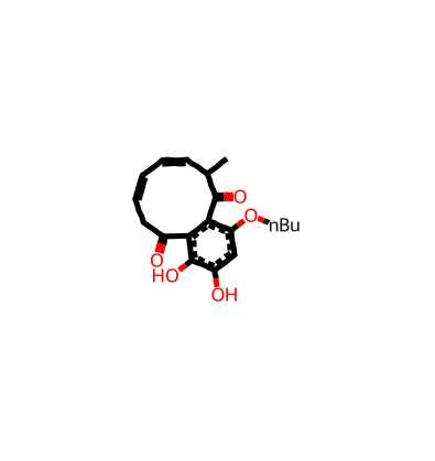 CCCCOc1cc(O)c(O)c2c1C(=O)C(C)/C=C\C=C/CC2=O